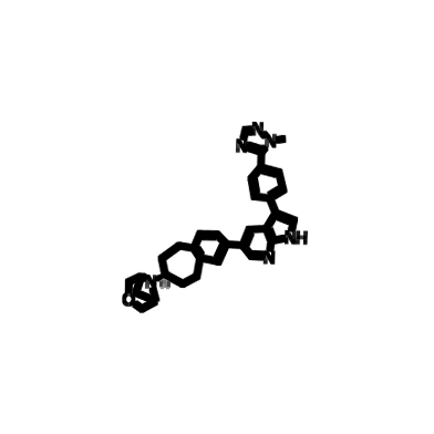 Cn1ncnc1-c1ccc(-c2c[nH]c3ncc(-c4ccc5c(c4)CC[C@@H](N4C6COCC4C6)CC5)cc23)cc1